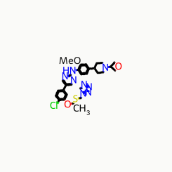 COc1cc(C2CCN(C3COC3)CC2)ccc1Nc1ncc(-c2ccc(Cl)c(OC(C)SCn3cnnn3)c2)cn1